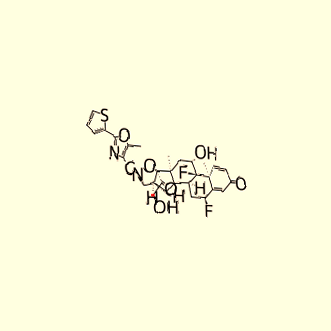 Cc1oc(-c2cccs2)nc1CN1C[C@@H]2C[C@H]3[C@@H]4C[C@H](F)C5=CC(=O)C=C[C@]5(C)[C@@]4(F)[C@@H](O)C[C@]3(C)[C@]2(C(=O)CO)O1